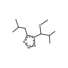 CC(C)Cc1nnnn1C(OI)C(C)C